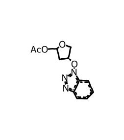 CC(=O)OC1C[C@H](On2nnc3ccccc32)CO1